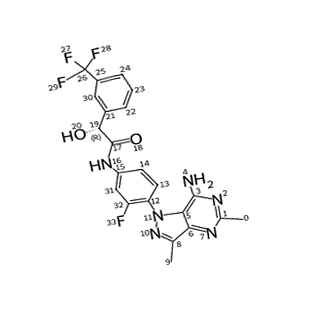 Cc1nc(N)c2c(n1)c(C)nn2-c1ccc(NC(=O)[C@H](O)c2cccc(C(F)(F)F)c2)cc1F